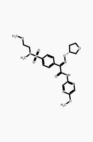 COCCN(C)S(=O)(=O)c1ccc(/C(=N\O[C@@H]2CCOC2)C(=O)Nc2cnc(OC)cn2)cc1